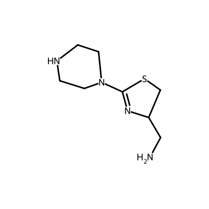 NCC1CSC(N2CCNCC2)=N1